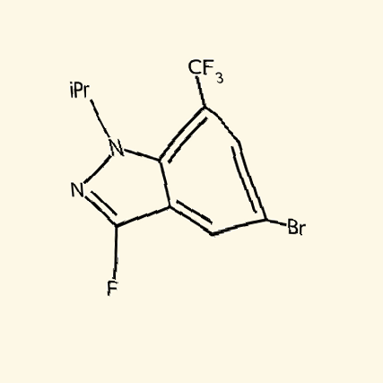 CC(C)n1nc(F)c2cc(Br)cc(C(F)(F)F)c21